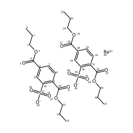 CCCOC(=O)c1ccc(C(=O)OCCC)c(S(=O)(=O)[O-])c1.CCCOC(=O)c1ccc(C(=O)OCCC)c(S(=O)(=O)[O-])c1.[Ba+2]